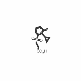 O=C(O)CCS(=O)(=O)c1cccc(F)c1C1CC1